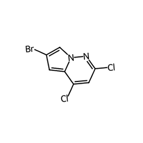 Clc1cc(Cl)c2cc(Br)cn2n1